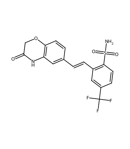 NS(=O)(=O)c1ccc(C(F)(F)F)cc1/C=C/c1ccc2c(c1)NC(=O)CO2